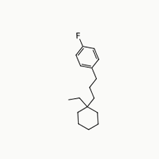 CCC1(CCCc2ccc(F)cc2)CCCCC1